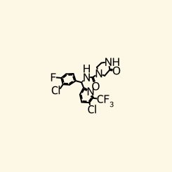 O=C1CN(C(=O)N[C@H](c2ccc(F)c(Cl)c2)c2ccc(Cl)c(C(F)(F)F)n2)CCN1